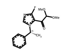 COC(OC)C(=O)c1c(F)ncn1[C@H](C)c1ccccc1